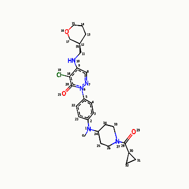 CN(c1ccc(-n2ncc(NC[C@@H]3CCCOC3)c(Cl)c2=O)cc1)C1CCN(C(=O)C2CC2)CC1